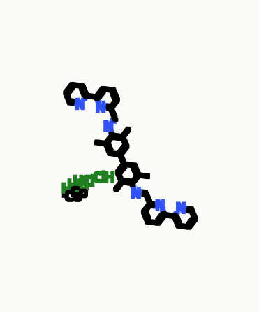 Cc1cc(-c2cc(C)c(N=Cc3cccc(-c4ccccn4)n3)c(C)c2)cc(C)c1N=Cc1cccc(-c2ccccn2)n1.Cl.Cl.Cl.Cl.[Co].[Co]